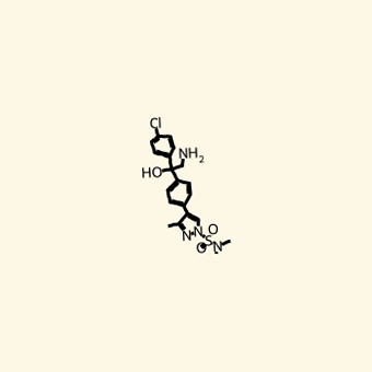 Cc1nn(S(=O)(=O)N(C)C)cc1-c1ccc(C(O)(CN)c2ccc(Cl)cc2)cc1